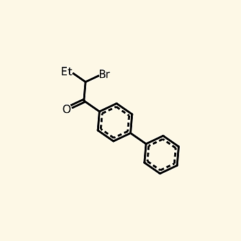 CCC(Br)C(=O)c1ccc(-c2ccccc2)cc1